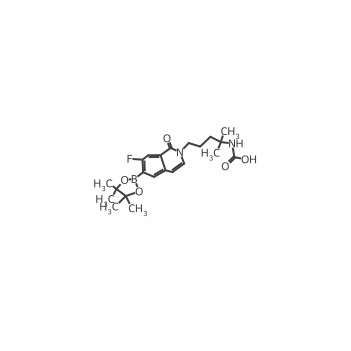 CC(C)(CCCn1ccc2cc(B3OC(C)(C)C(C)(C)O3)c(F)cc2c1=O)NC(=O)O